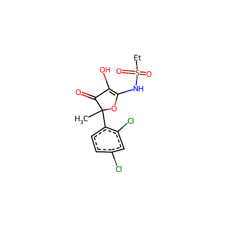 CCS(=O)(=O)NC1=C(O)C(=O)C(C)(c2ccc(Cl)cc2Cl)O1